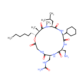 CCCCCC[C@H]1OC(=O)CNC(=O)[C@H](CNC(N)=O)NC(=O)[C@H](CN)NC(=O)[C@H](C2CCCCC2)NC(=O)[C@H](CC(C)C)N(C)C(=O)[C@@H]1C